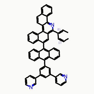 C/C=C\C(=C/C)c1nc2c3ccccc3ccc2c2c1cc(-c1c3ccccc3c(-c3cc(-c4cccnc4)cc(-c4cccnc4)c3)c3ccccc13)c1ccccc12